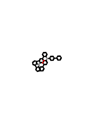 c1ccc(-c2ccc(N(c3ccc(-c4ccccc4)cc3)c3ccccc3-c3ccc4c(c3)c3cccc5c6ccccc6n4c53)cc2)cc1